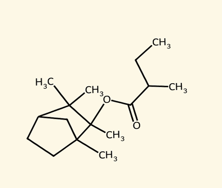 CCC(C)C(=O)OC1(C)C2(C)CCC(C2)C1(C)C